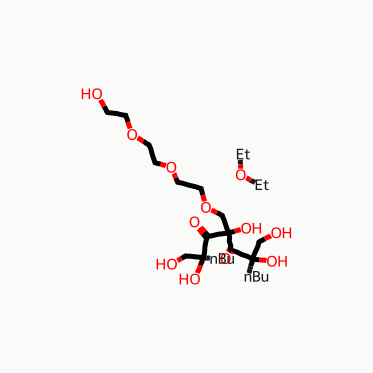 CCCCC(O)(CO)C(=O)C(O)(COCCOCCOCCO)C(=O)C(O)(CO)CCCC.CCOCC